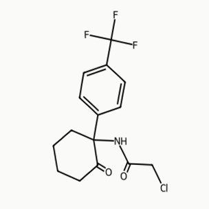 O=C(CCl)NC1(c2ccc(C(F)(F)F)cc2)CCCCC1=O